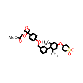 COC(=O)COC1(c2ccc(OCc3cccc(-c4c(C)cc(OC5CCS(=O)(=O)CC5)cc4C)c3)cc2)COC1